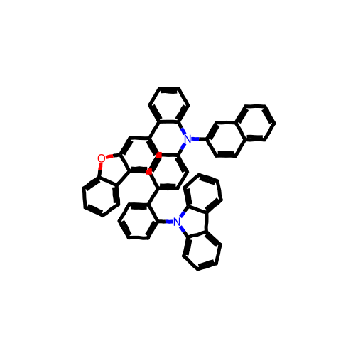 c1ccc(N(c2ccc(-c3ccccc3-n3c4ccccc4c4ccccc43)cc2)c2ccc3ccccc3c2)c(-c2ccc3c(c2)oc2ccccc23)c1